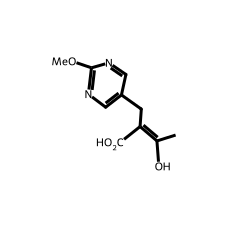 COc1ncc(C/C(C(=O)O)=C(\C)O)cn1